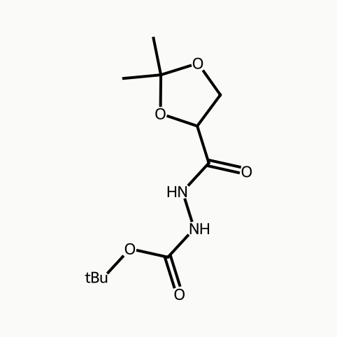 CC(C)(C)OC(=O)NNC(=O)C1COC(C)(C)O1